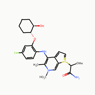 COC(C(N)=O)S1=CC=C2C1=CN(C(=O)O)C(C)=C2Nc1ccc(F)cc1O[C@@H]1CCCC[C@H]1O